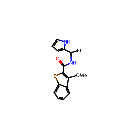 CCC(NC(=O)c1sc2ccccc2c1OC)c1ccc[nH]1